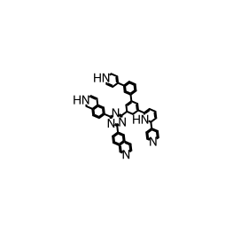 C1=CC(c2ccncc2)NC(C2=CC(c3cccc(C4=CCNC=C4)c3)=CC(c3nc(-c4ccc5c(c4)C=CNC5)nc(-c4ccc5cnccc5c4)n3)C2)=C1